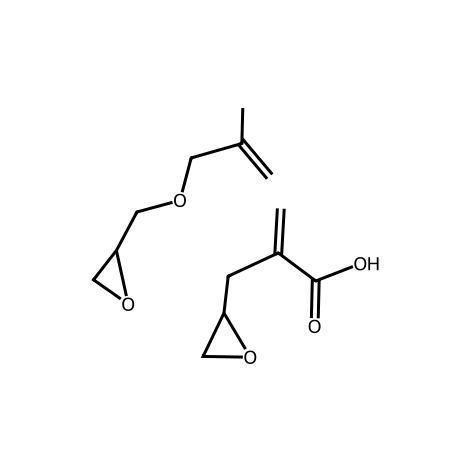 C=C(C)COCC1CO1.C=C(CC1CO1)C(=O)O